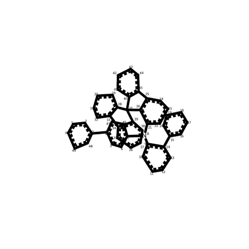 c1ccc(-c2ccc(N(c3ccccc3-c3ccccc3)c3cccc4c3C3(c5ccccc5-c5ccccc53)c3ccccc3-4)cc2)cc1